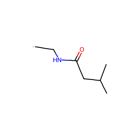 [CH2]CNC(=O)CC(C)C